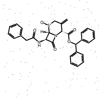 C=C1C[S+]([O-])[C@H]2[C@H](NC(=O)Cc3ccccc3)C(=O)N2[C@H]1C(=O)OC(c1ccccc1)c1ccccc1